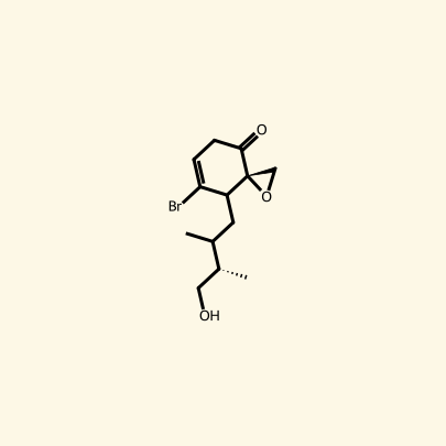 CC(CC1C(Br)=CCC(=O)[C@@]12CO2)[C@H](C)CO